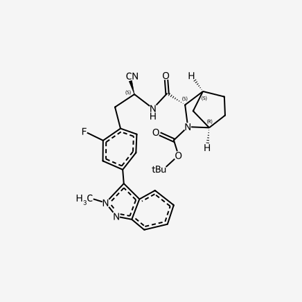 Cn1nc2ccccc2c1-c1ccc(C[C@@H](C#N)NC(=O)[C@@H]2[C@H]3CC[C@H](C3)N2C(=O)OC(C)(C)C)c(F)c1